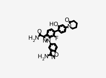 NC(=O)c1nn(-c2ccc3onc(N)c3c2)c2c(F)c(-c3ccc(N4CCCCC4=O)cc3O)ccc12